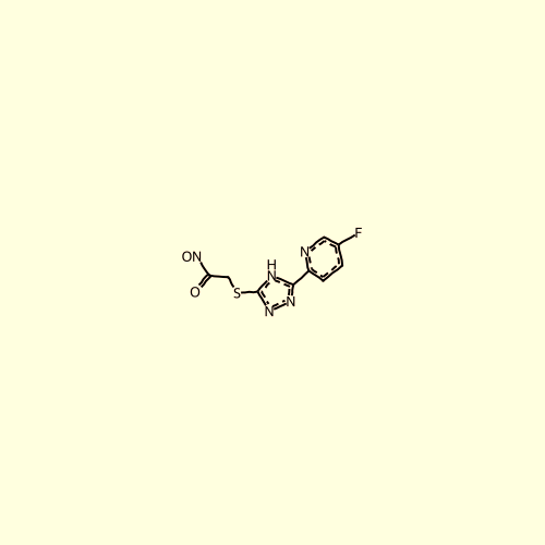 O=NC(=O)CSc1nnc(-c2ccc(F)cn2)[nH]1